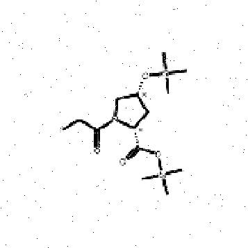 C[Si](C)(C)OC(=O)[C@H]1C[C@@H](O[Si](C)(C)C)CN1C(=O)CI